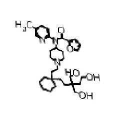 Cc1ccc(N(C(=O)c2ccco2)C2CCN(CCC3(CCC(CO)(CO)CCO)CCCCC3)CC2)nc1